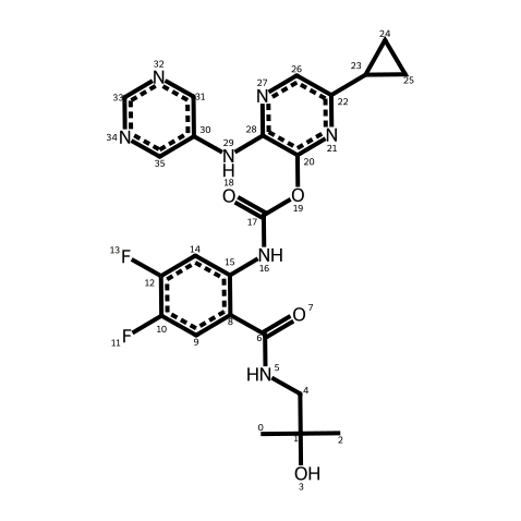 CC(C)(O)CNC(=O)c1cc(F)c(F)cc1NC(=O)Oc1nc(C2CC2)cnc1Nc1cncnc1